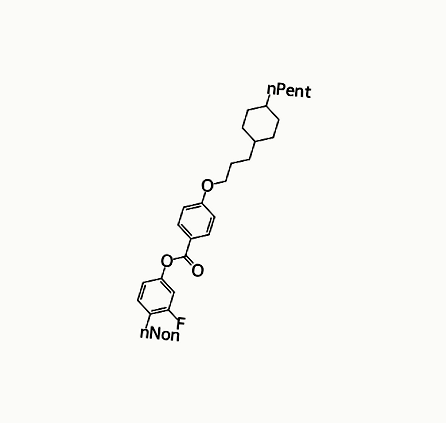 CCCCCCCCCc1ccc(OC(=O)c2ccc(OCCCC3CCC(CCCCC)CC3)cc2)cc1F